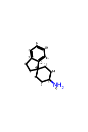 NC1CCC2(CCc3ccccc32)CC1